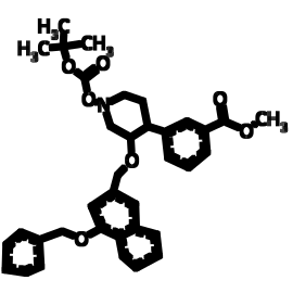 COC(=O)c1cccc(C2CCN(OC(=O)OC(C)(C)C)CC2OCc2cc(OCc3ccccc3)c3ccccc3c2)c1